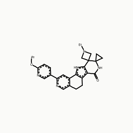 CCN1CC2(C1)c1[nH]c3c(c1C(=O)NC21CC1)CCc1cnc(-c2ccc(OC(C)C)nc2)cc1-3